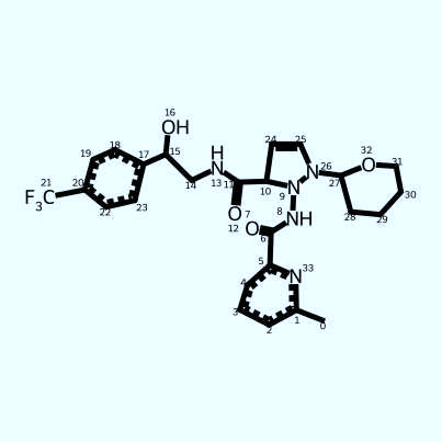 Cc1cccc(C(=O)NN2C(C(=O)NCC(O)c3ccc(C(F)(F)F)cc3)C=CN2C2CCCCO2)n1